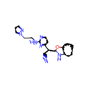 N#CC(=C1Nc2ccccc2O1)c1ccnc(NCCn2cccn2)n1